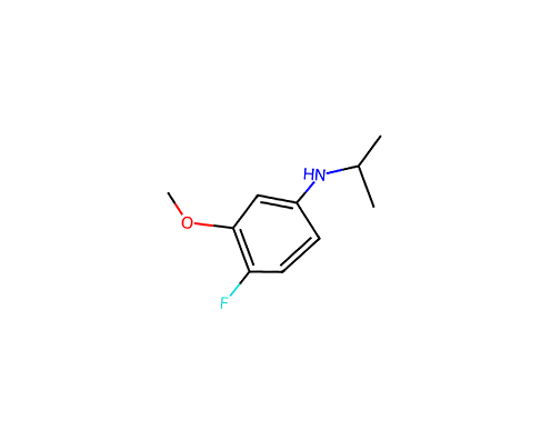 COc1cc(NC(C)C)ccc1F